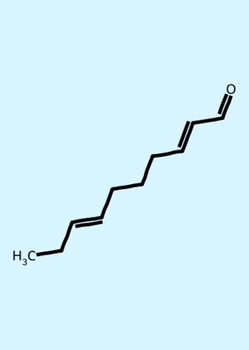 CC/C=C/CCC/C=C/C=O